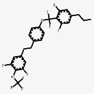 CCCc1cc(F)c(C(F)(F)Oc2ccc(CCc3cc(F)c(OC(F)(F)F)c(F)c3)cc2)c(F)c1